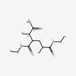 CCOC(=O)C(C)CC(C(=O)OCC)C(C)C(=O)O